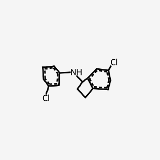 Clc1cccc(NC2CCc3ccc(Cl)cc32)c1